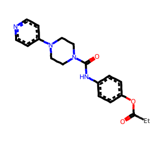 CCC(=O)Oc1ccc(NC(=O)N2CCN(c3ccncc3)CC2)cc1